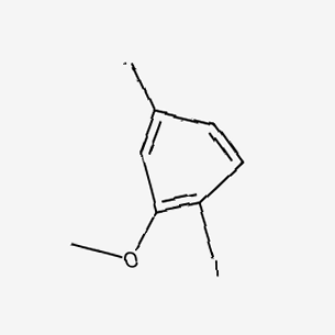 [CH2]c1ccc(I)c(OC)c1